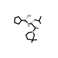 CC(C)C[C@@H](N[C@@H](O)C1CCCC1)[C@@H](C)N1CCCC(C)(C)C1